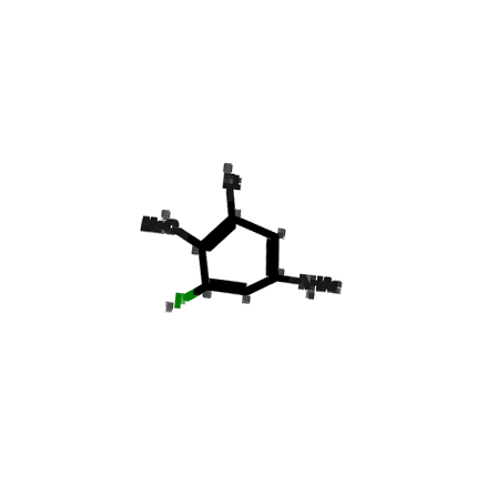 CCc1cc(NC(C)=O)cc(F)c1OC